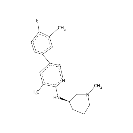 Cc1cc(-c2cc(C)c(N[C@@H]3CCCN(C)C3)nn2)ccc1F